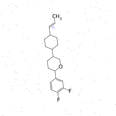 C/C=C/C1CCC(C2CCC(c3ccc(F)c(F)c3)OC2)CC1